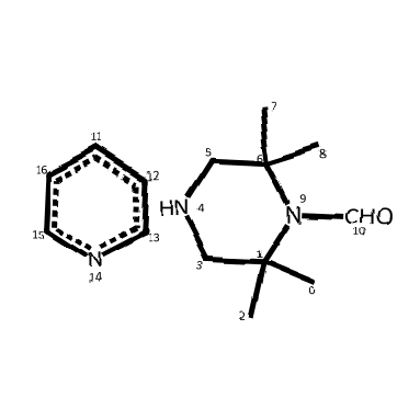 CC1(C)CNCC(C)(C)N1C=O.c1ccncc1